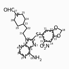 Nc1ncnc2c1nc(Sc1cc3c(cc1[N+](=O)[O-])OCO3)n2CCC1CCN(C=O)CC1